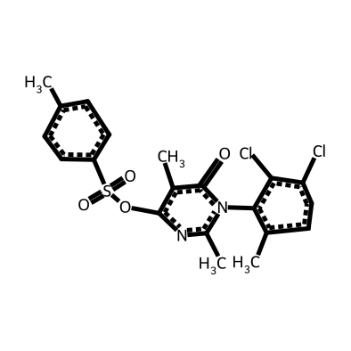 Cc1ccc(S(=O)(=O)Oc2nc(C)n(-c3c(C)ccc(Cl)c3Cl)c(=O)c2C)cc1